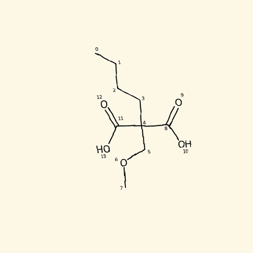 CCCCC(COC)(C(=O)O)C(=O)O